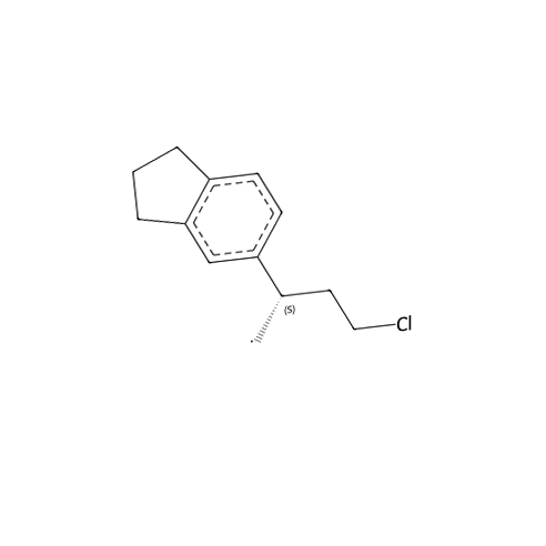 [CH2][C@@H](CCCl)c1ccc2c(c1)CCC2